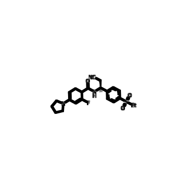 CCS(=O)(=O)c1ccc([C@H](CC#N)NC(=O)C2CC=C(N3CCCC3)C=C2F)cc1